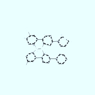 Brc1ccc2c(c1)-c1ccc(-c3ccccc3)cc1B1c3cc(-c4ccccc4)ccc3-c3cc(Br)ccc3N12